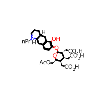 CCCN1CCC[C@@H]2Cc3c(ccc(O[C@@H]4O[C@@H](COC(C)=O)[C@H](CC(=O)O)[C@H](CC(=O)O)[C@H]4CC(=O)O)c3O)C[C@H]21